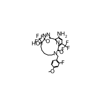 COc1ccc(CN2CCCCC[C@](O)(C(F)(F)F)c3nnc(o3)-c3nc(c(C(F)(F)F)cc3N)C2=O)c(F)c1